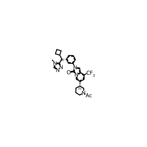 CC(=O)N1CCC[C@@H](c2cc(C(F)(F)F)c3cn(-c4cccc([C@H](c5nncn5C)C5CCC5)c4)c(=O)n3c2)C1